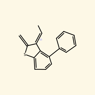 C=c1sc2cccc(-c3ccccc3)c2/c1=C/C